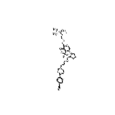 C[Si](C)(C)CCOCn1ncc(N2CCCC2COCCCN2CCN(c3ccc(C#N)cn3)CC2)c(C(F)(F)F)c1=O